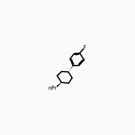 CCC[C@H]1CC[C@H](c2ccc(F)cc2)CC1